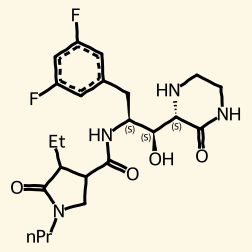 CCCN1CC(C(=O)N[C@@H](Cc2cc(F)cc(F)c2)[C@H](O)[C@@H]2NCCNC2=O)C(CC)C1=O